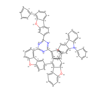 c1ccc(-c2nc(-c3ccc4c(c3)oc3c(-c5ccccc5)cccc34)nc(-c3cccc4oc5ccc(-c6cc(-c7ccc8c9ccccc9n(-c9ccccc9)c8c7)cc7oc8ccccc8c67)cc5c34)n2)cc1